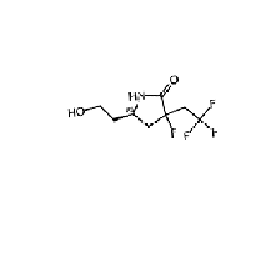 O=C1N[C@H](CCO)CC1(F)CC(F)(F)F